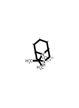 CC(C)[N+]1(C)C2CCCC1CNC2